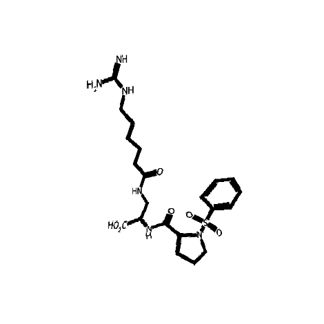 N=C(N)NCCCCCC(=O)NCC(NC(=O)C1CCCN1S(=O)(=O)c1ccccc1)C(=O)O